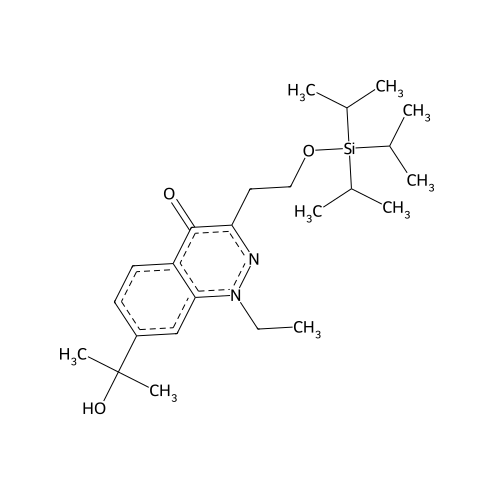 CCn1nc(CCO[Si](C(C)C)(C(C)C)C(C)C)c(=O)c2ccc(C(C)(C)O)cc21